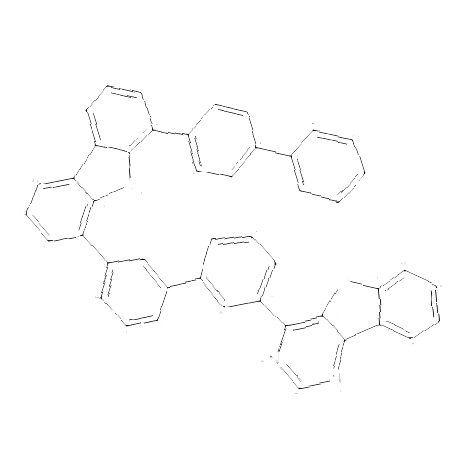 c1ccc(-c2ccc(-c3cccc4c3sc3c(-c5cccc(-c6cccc(-c7ncnc8c7oc7ccccc78)c6)c5)cccc34)cc2)cc1